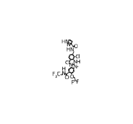 Cn1c(Nc2c(Cl)ccc(CNC(=O)c3cc[nH]n3)c2Cl)nc2cc(C(=O)NCC(F)(F)F)c(OCC(F)F)cc21